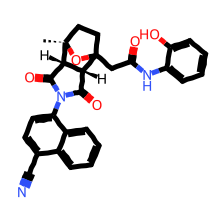 C[C@]12CCC(CC(=O)Nc3ccccc3O)(O1)[C@@H]1C(=O)N(c3ccc(C#N)c4ccccc34)C(=O)[C@@H]12